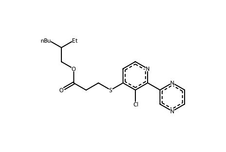 CCCCC(CC)COC(=O)CCSc1ccnc(-c2cnccn2)c1Cl